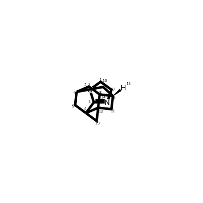 C1COC(C23CC4CC5[C@H](C4)CC52C3)=N1